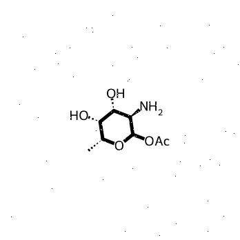 CC(=O)OC1O[C@H](C)[C@H](O)[C@H](O)[C@H]1N